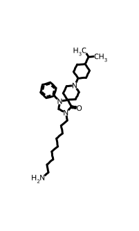 CC(C)C1CCC(N2CCC3(CC2)C(=O)N(CCCCCCCCCN)CN3c2ccccc2)CC1